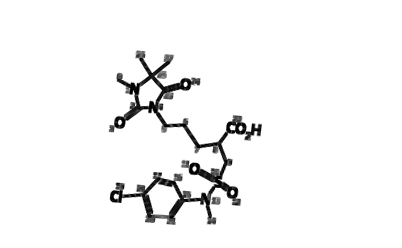 CN1C(=O)N(CCCC(CS(=O)(=O)N(C)c2ccc(Cl)cc2)C(=O)O)C(=O)C1(C)C